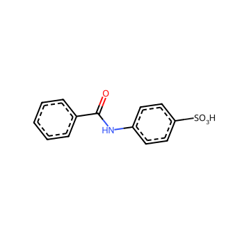 O=C(Nc1ccc(S(=O)(=O)O)cc1)c1ccccc1